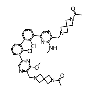 CNc1nc(-c2cccc(-c3cccc(-c4cnc(CN5CC6(C5)CN(C(C)=O)C6)c(OC)n4)c3Cl)c2Cl)cnc1CN1CC2(C1)CN(C(C)=O)C2